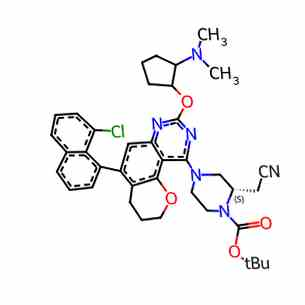 CN(C)C1CCCC1Oc1nc(N2CCN(C(=O)OC(C)(C)C)[C@@H](CC#N)C2)c2c3c(c(-c4cccc5cccc(Cl)c45)cc2n1)CCCO3